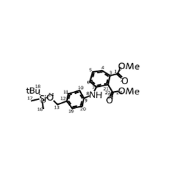 COC(=O)c1cccc(Nc2ccc(CO[Si](C)(C)C(C)(C)C)cc2)c1C(=O)OC